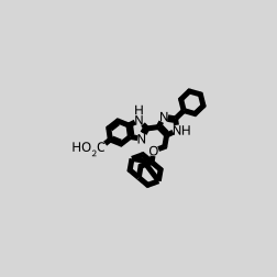 O=C(O)c1ccc2[nH]c(-c3nc(C4CCCCC4)[nH]c3COC34CC5CC(CC(C5)C3)C4)nc2c1